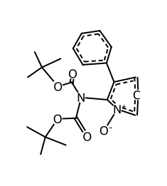 CC(C)(C)OC(=O)N(C(=O)OC(C)(C)C)c1c(-c2ccccc2)ccc[n+]1[O-]